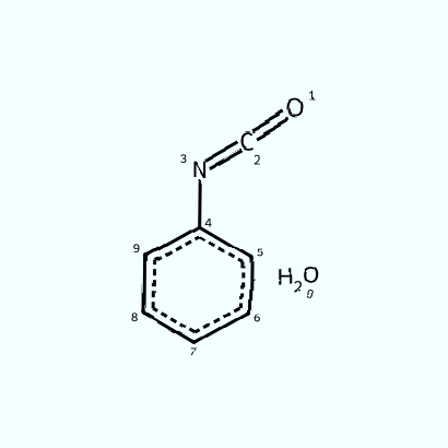 O.O=C=Nc1ccccc1